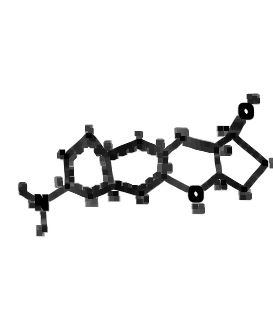 CN(C)c1ccc2cc3c(cc2c1)OC1CCC(=O)C1=C3